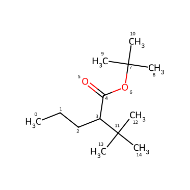 CCCC(C(=O)OC(C)(C)C)C(C)(C)C